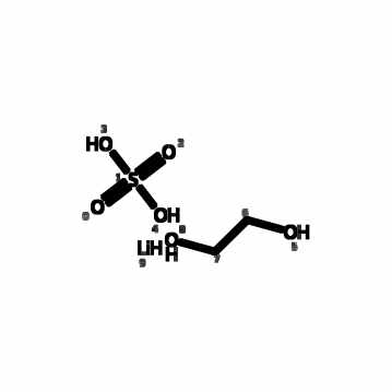 O=S(=O)(O)O.OCCO.[LiH]